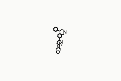 CN1CCC(c2ccccc2)c2ccc(-c3ccc(N4CCOCC4)nn3)cc2C1